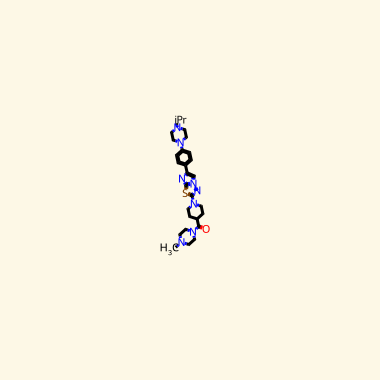 CC(C)N1CCN(c2ccc(-c3cn4nc(N5CCC(C(=O)N6CCN(C)CC6)CC5)sc4n3)cc2)CC1